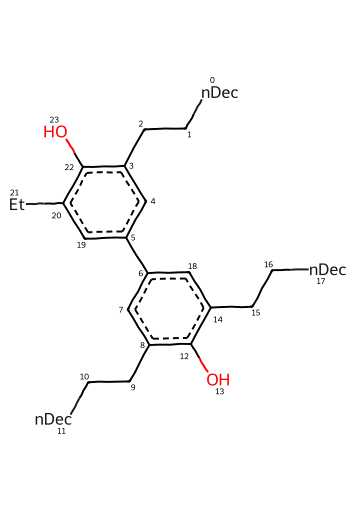 CCCCCCCCCCCCc1cc(-c2cc(CCCCCCCCCCCC)c(O)c(CCCCCCCCCCCC)c2)cc(CC)c1O